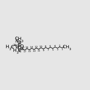 CCCCCCCCCCCCCCCCCCC(C)O[SiH](OCC)OCC